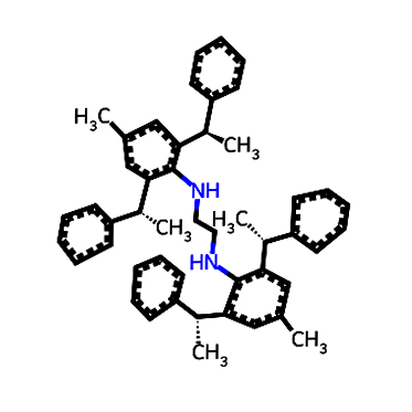 Cc1cc([C@H](C)c2ccccc2)c(NCCNc2c([C@H](C)c3ccccc3)cc(C)cc2[C@H](C)c2ccccc2)c([C@H](C)c2ccccc2)c1